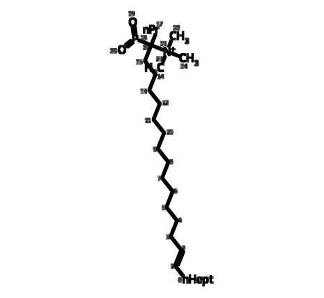 CCCCCCCC=CCCCCCCCCCCCCCC(CCC)(P(=O)=O)[N+](C)(C)C